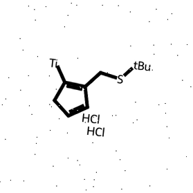 CC(C)(C)SCC1=[C]([Ti])CC=C1.Cl.Cl